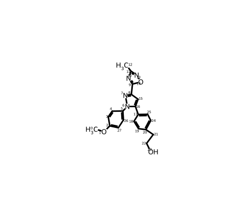 COc1ccc(-n2nc(-c3nc(C)no3)cc2-c2ccc(CCO)cc2)cc1